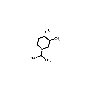 CC1CN(C(C)C)CC[C@@H]1C